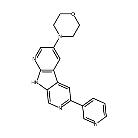 c1cncc(-c2cc3c(cn2)[nH]c2ncc(N4CCOCC4)cc23)c1